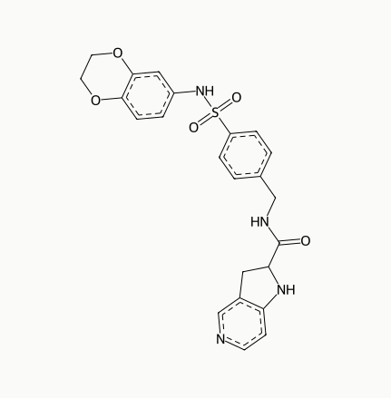 O=C(NCc1ccc(S(=O)(=O)Nc2ccc3c(c2)OCCO3)cc1)C1Cc2cnccc2N1